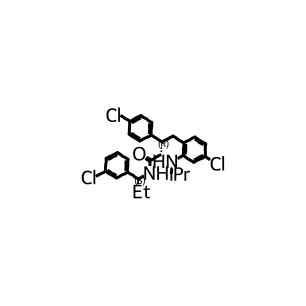 CC[C@H](NC(=O)C[C@@H](Cc1ccc(Cl)cc1NC(C)C)c1ccc(Cl)cc1)c1cccc(Cl)c1